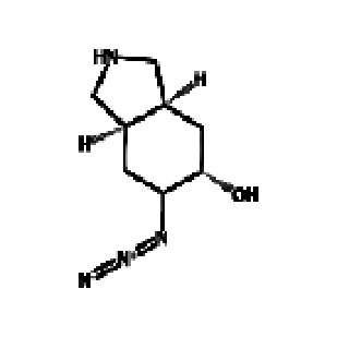 [N-]=[N+]=NC1C[C@H]2CNC[C@H]2C[C@@H]1O